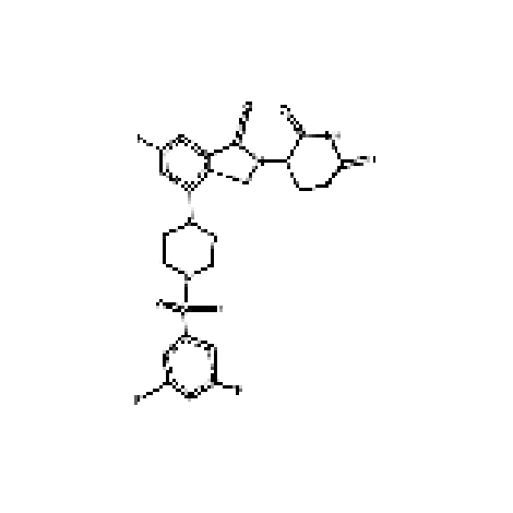 O=C1CCC(N2Cc3c(cc(F)cc3C3CCN(S(=O)(=O)c4cc(F)cc(F)c4)CC3)C2=O)C(=O)N1